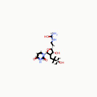 CC(C)(CC1[C@@H](O)[C@@H](CCNC(N)O)O[C@H]1n1ccc(=O)[nH]c1=O)[Si](C)(C)O